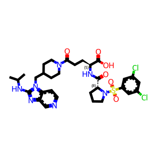 CC(C)Nc1nc2cnccc2n1CC1CCN(C(=O)CC[C@H](NC(=O)[C@H]2CCCN2S(=O)(=O)c2cc(Cl)cc(Cl)c2)C(=O)O)CC1